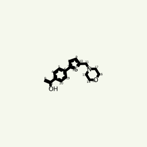 C=C(O)c1ccc(-c2ccc(CN3CCOCC3)s2)cc1